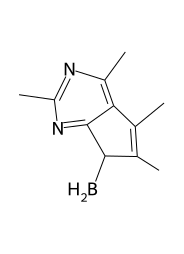 BC1C(C)=C(C)c2c(C)nc(C)nc21